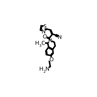 CC1c2ccc(OCCN)cc2CCN1C(=O)/C(C#N)=C\c1nccs1